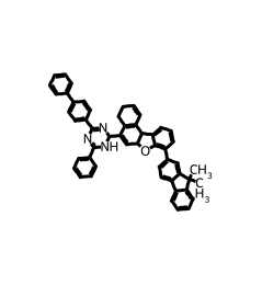 CC1(C)c2ccccc2-c2ccc(-c3cccc4c3OC3C=C(C5N=C(c6ccc(-c7ccccc7)cc6)N=C(c6ccccc6)N5)C5=C(C=CCC5)C43)cc21